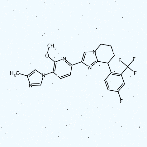 COc1nc(-c2cn3c(n2)C(c2ccc(F)cc2C(F)(F)F)CCC3)ccc1-n1cnc(C)c1